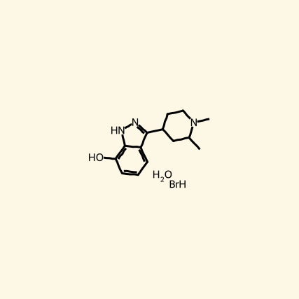 Br.CC1CC(c2n[nH]c3c(O)cccc23)CCN1C.O